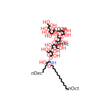 CCCCCCCC/C=C\CCCCCCCCCCCCCC(=O)N[C@@H](CO[C@@H]1OC(CO)[C@@H](O[C@@H]2OC(CO)[C@H](O)[C@H](O[C@@H]3OC(CO)[C@@H](O[C@@H]4OC(CO[C@]5(C(=O)O)CC(O)[C@@H](O)C([C@H](O)[C@H](O)CO)O5)[C@H](O)[C@H](O)C4O)[C@H](O)C3NC(C)=O)C2O)[C@H](O)C1O)[C@H](O)/C=C/CCCCCCCCCCCCC